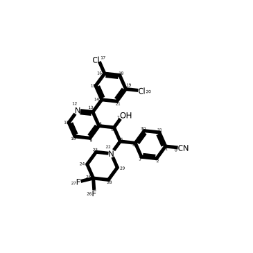 N#Cc1ccc(C(C(O)c2cccnc2-c2cc(Cl)cc(Cl)c2)N2CCC(F)(F)CC2)cc1